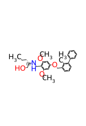 CCC[C@@H](CO)NCc1c(OC)cc(OCc2cccc(-c3ccccc3)c2C)cc1OC